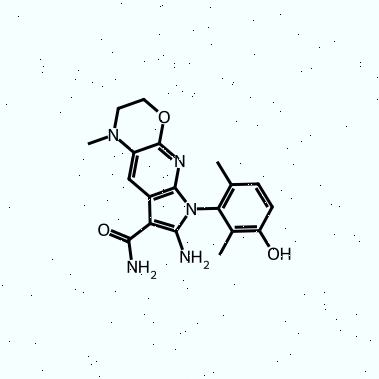 Cc1ccc(O)c(C)c1-n1c(N)c(C(N)=O)c2cc3c(nc21)OCCN3C